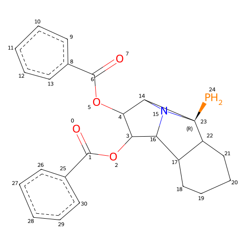 O=C(OC1C(OC(=O)c2ccccc2)C2N3C1C1CCCCC1[C@@]23P)c1ccccc1